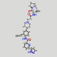 COc1cc(C2CCN(CCC(=O)NC(C(=O)N3CCCC3C)C(C)(C)C)CC2)ccc1NC(=O)c1cccc(-c2ccn[nH]2)n1